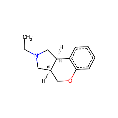 [CH2]CN1C[C@@H]2COc3ccccc3[C@@H]2C1